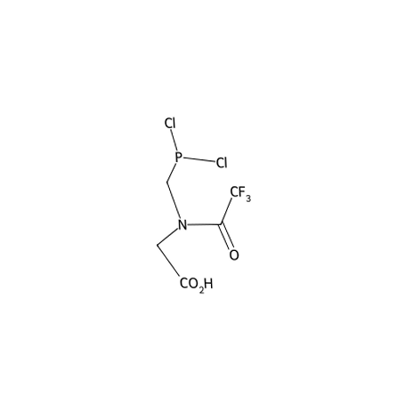 O=C(O)CN(CP(Cl)Cl)C(=O)C(F)(F)F